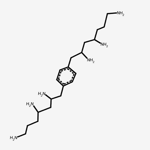 NCCCC(N)CC(N)Cc1ccc(CC(N)CC(N)CCCN)cc1